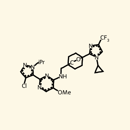 COc1cnc(-c2c(Cl)cnn2C(C)C)nc1NCC12CCC(c3nc(C(F)(F)F)cn3C3CC3)(CC1)OC2